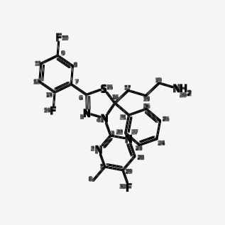 Cc1nc(N2N=C(c3cc(F)ccc3F)SC2(CCCN)c2ccccc2)ncc1F